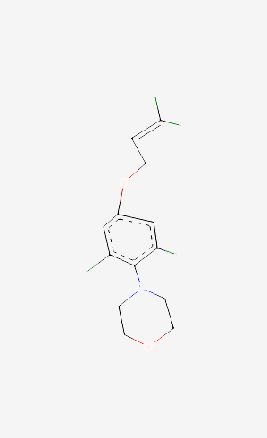 ClC(Cl)=CCOc1cc(Cl)c(N2CCOCC2)c(Cl)c1